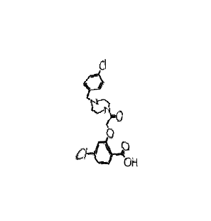 O=C(O)c1ccc(Cl)cc1OCC(=O)N1CCN(Cc2ccc(Cl)cc2)CC1